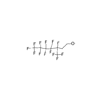 [O]CCC(F)(C(F)(F)F)C(F)(F)C(F)(F)C(F)(F)C(F)(F)F